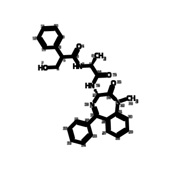 C[C@H](NC(=O)C(CO)c1ccccc1)C(=O)N[C@H]1N=C(c2ccccc2)c2ccccc2N(C)C1=O